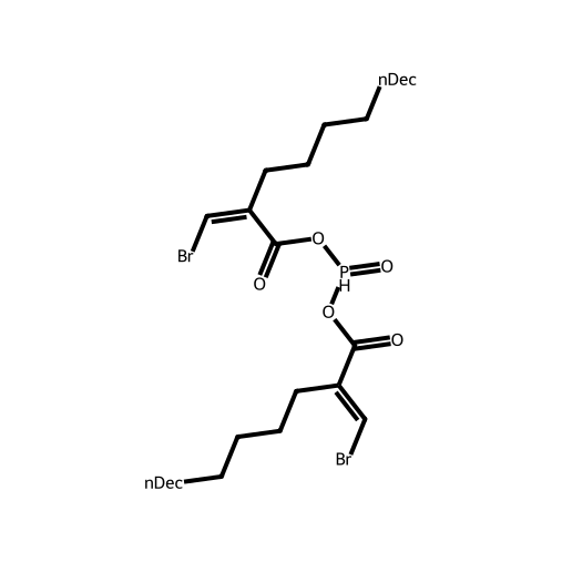 CCCCCCCCCCCCCCC(=CBr)C(=O)O[PH](=O)OC(=O)C(=CBr)CCCCCCCCCCCCCC